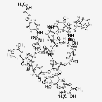 CC[C@H](CC(C)C)C(=O)N[C@H]1C(=O)C[C@@H](CC(=O)NC(=O)Nc2ccc(OCCNC)cc2)C(=O)N[C@H]2C(=O)C[C@H]3C(=O)N[C@H](C(=O)N[C@H](C(=O)CC4C5CC6CC(C5)CC4C6)c4cc(O)cc(O)c4-c4cc3ccc4O)[C@H](O)c3ccc(c(Cl)c3)Oc3cc2cc(c3O[C@@H]2O[C@H](CO)[C@@H](O)[C@H](O)[C@H]2O[C@H]2C[C@](C)(N)[C@H](O)[C@H](C)O2)Oc2ccc(cc2Cl)[C@H]1O